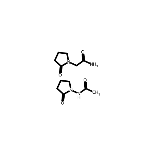 CC(=O)NN1CCCC1=O.NC(=O)CN1CCCC1=O